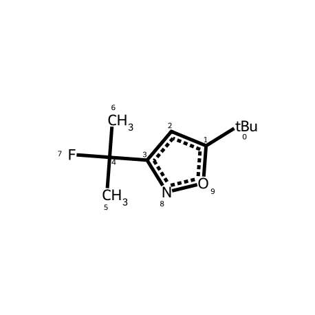 CC(C)(C)c1cc(C(C)(C)F)no1